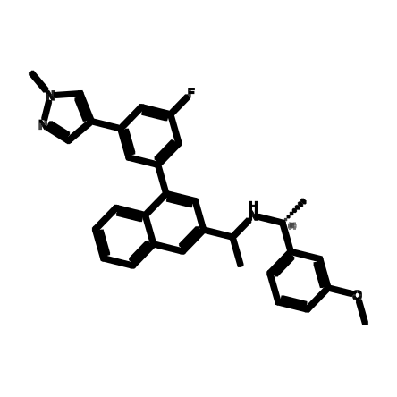 COc1cccc([C@@H](C)NC(C)c2cc(-c3cc(F)cc(-c4cnn(C)c4)c3)c3ccccc3c2)c1